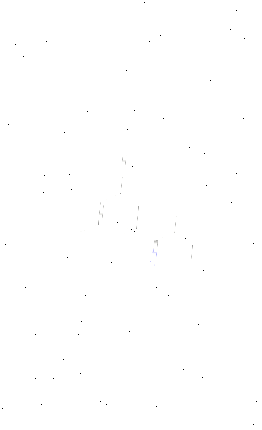 Bc1cc(B=C)cc(C(=N/C)/C(C)=C\CC)c1